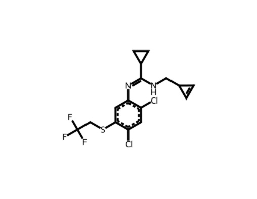 FC(F)(F)CSc1cc(/N=C(\NCC2C=C2)C2CC2)c(Cl)cc1Cl